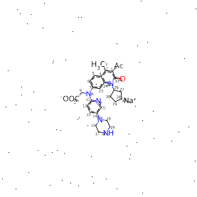 CC(=O)c1c(C)c2ccc(N(CC(=O)[O-])c3ccc(N4CCNCC4)cn3)cc2n(C2CCCC2)c1=O.[Na+]